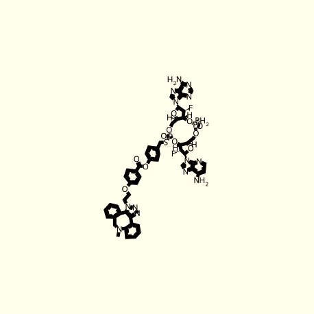 B[P@]1(=O)OC[C@H]2O[C@@H](n3cnc4c(N)ccnc43)[C@H](F)[C@@H]2O[P@@](=O)(SCc2ccc(OC(=O)c3ccc(OCCn4nnc5c4-c4ccccc4CN(C)c4ccccc4-5)cc3)cc2)OC[C@H]2O[C@@H](n3cnc4c(N)ncnc43)[C@H](F)[C@@H]2O1